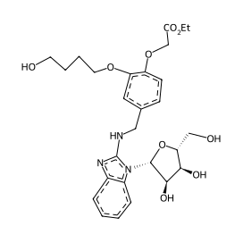 CCOC(=O)COc1ccc(CNc2nc3ccccc3n2[C@@H]2O[C@H](CO)[C@@H](O)[C@H]2O)cc1OCCCCO